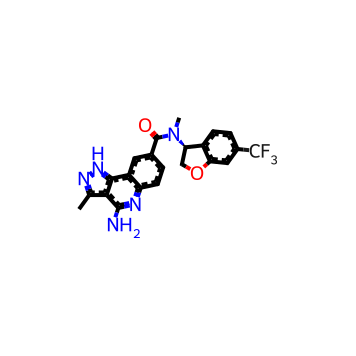 Cc1n[nH]c2c1c(N)nc1ccc(C(=O)N(C)[C@@H]3COc4cc(C(F)(F)F)ccc43)cc12